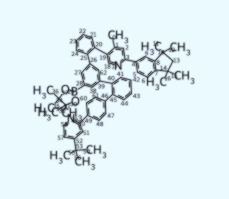 Cc1cc(-c2ccc3c(c2)C(C)(C)CC3(C)C)ncc1-c1ccccc1-c1cc(B2OC(C)(C)C(C)(C)O2)cc(-c2ccccc2-c2ccc(-c3cc(C(C)(C)C)ccn3)cc2)c1